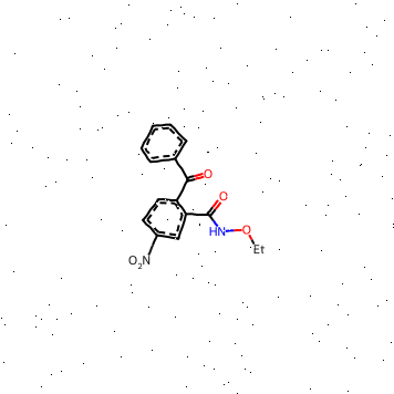 CCONC(=O)c1cc([N+](=O)[O-])ccc1C(=O)c1ccccc1